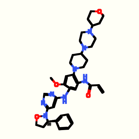 C=CC(=O)Nc1cc(Nc2cc(N3OCC[C@@H]3c3ccccc3)ncn2)c(OC)cc1N1CCC(N2CCN(C3CCOCC3)CC2)CC1